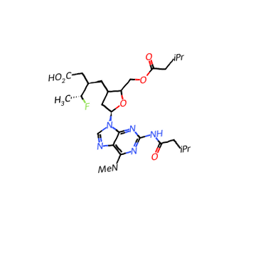 CNc1nc(NC(=O)CC(C)C)nc2c1ncn2[C@H]1CC(C[C@H](CC(=O)O)[C@@H](C)F)C(COC(=O)CC(C)C)O1